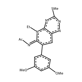 CCn1c(=NC(C)=O)c(-c2cc(OC)cc(OC)c2)cc2nnc(SC)nc21